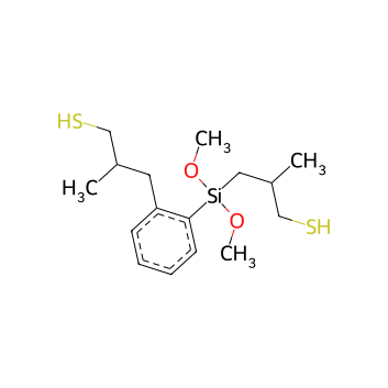 CO[Si](CC(C)CS)(OC)c1ccccc1CC(C)CS